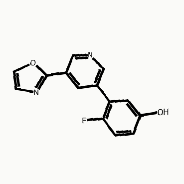 Oc1ccc(F)c(-c2cncc(-c3ncco3)c2)c1